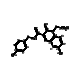 O=C(O)Cn1c(=O)c(C(=O)NCc2ccc(Cl)cc2)cc2nc(Br)cnc21